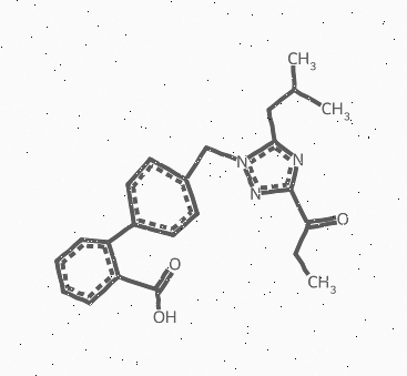 CCC(=O)c1nc(CC(C)C)n(Cc2ccc(-c3ccccc3C(=O)O)cc2)n1